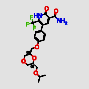 CC(C)OC[C@@H]1COC[C@@H](COc2ccc(-c3cc(C(N)=O)c(=O)[nH]c3C(F)(F)F)cc2)O1